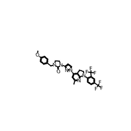 COc1ccc(CN2CCN(c3ccn(-c4cc(C)nc5c4CCN5c4ccc(C(F)(F)F)cc4C(F)(F)F)n3)C2=O)cc1